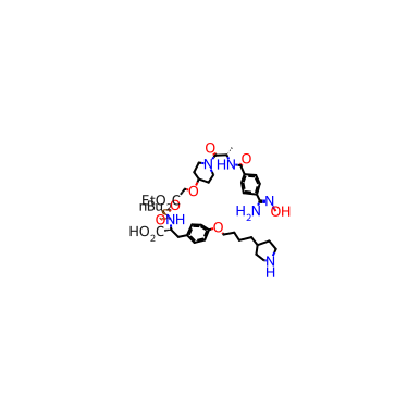 CCCCS(=O)(=O)N[C@@H](Cc1ccc(OCCCCC2CCNCC2)cc1)C(=O)O.CCOC(=O)COC1CCN(C(=O)[C@H](C)NC(=O)c2ccc(/C(N)=N/O)cc2)CC1